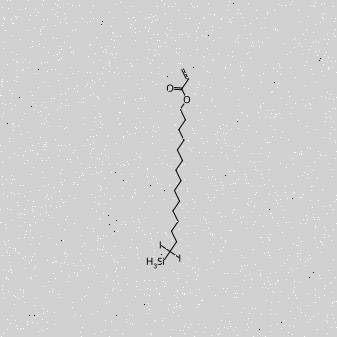 C=CC(=O)OCCCCCCCCCCCCCCC([SiH3])(I)I